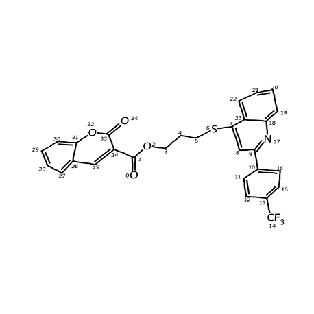 O=C(OCCCSc1cc(-c2ccc(C(F)(F)F)cc2)nc2ccccc12)c1cc2ccccc2oc1=O